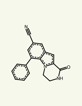 N#Cc1cc(-c2ccccc2)c2c(c1)cc1n2CCNC1=O